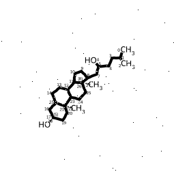 CC(C)CCC(O)CC1CCC2C3CCC4C[C@@H](O)CC[C@]4(C)C3CC[C@]12C